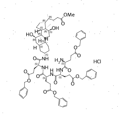 COC(=O)CC[C@@H](C)[C@H]1CC[C@H]2[C@@H]3[C@H](O)C[C@@H]4C[C@@H](NC(=O)[C@H](CCC(=O)OCc5ccccc5)NC(=O)[C@H](CCC(=O)OCc5ccccc5)NC(=O)[C@H](CCC(=O)OCc5ccccc5)NC(=O)[C@@H](N)CCC(=O)OCc5ccccc5)CC[C@]4(C)[C@H]3C[C@H](O)[C@]12C.Cl